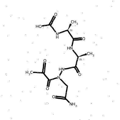 CC(=O)C(=O)N(CC(N)=O)NC(=O)[C@H](C)NC(=O)[C@H](C)NC(=O)O